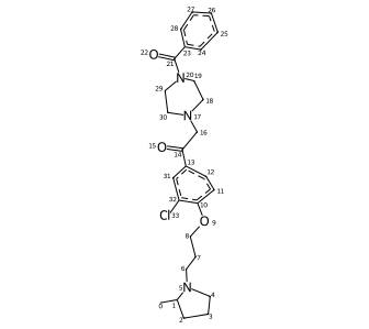 CC1CCCN1CCCOc1ccc(C(=O)CN2CCN(C(=O)c3ccccc3)CC2)cc1Cl